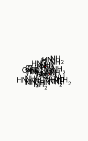 N=C(N)NCCC[C@H](NC(=O)[C@H](CCCNC(=N)N)NC(=O)[C@H](CCCNC(=N)N)NC(=O)[C@H](CCCNC(=N)N)NC(=O)[C@H](CCCNC(=N)N)NC(=O)[C@H](CCCNC(=N)N)NC(=O)[C@@H](N)CCCNC(=N)N)C(=O)O